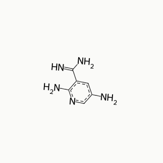 N=C(N)c1cc(N)cnc1N